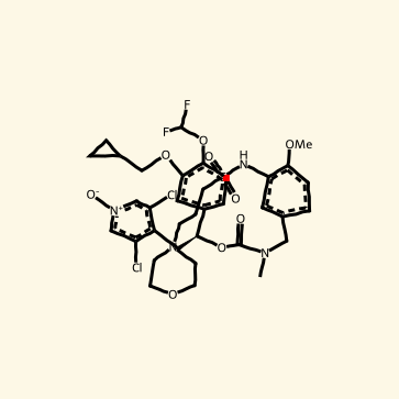 COc1ccc(CN(C)C(=O)O[C@@H](Cc2c(Cl)c[n+]([O-])cc2Cl)c2ccc(OC(F)F)c(OCC3CC3)c2)cc1NS(=O)(=O)CCCN1CCOCC1